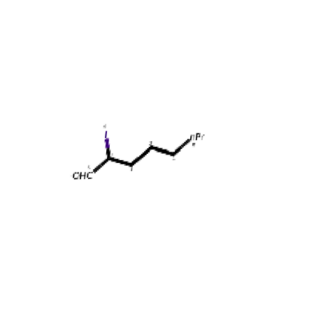 CCCCCCC(I)[C]=O